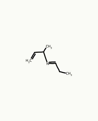 C=CC(C)N=CCC